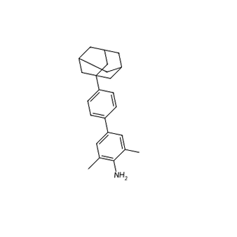 Cc1cc(-c2ccc(C34CC5CC(CC(C5)C3)C4)cc2)cc(C)c1N